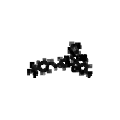 C[C@@H](n1cc(C=Cc2ccc(C(F)(F)F)cc2)cn1)[C@](O)(Cn1cncn1)c1ccc(F)cc1F